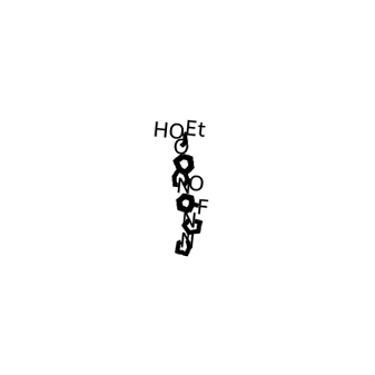 CC[C@H](O)COc1ccc2c(c1)CCN(c1ccc(N3CC[C@@H](N4CCCC4)C3)c(F)c1)C2=O